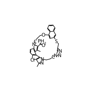 Cc1nn2c(c1C)-c1c(Cl)ccc3c1c(C)c(C(=O)P)n3CCCOc1cc(cc3ccccc13)SCc1cn(nn1)CCC2